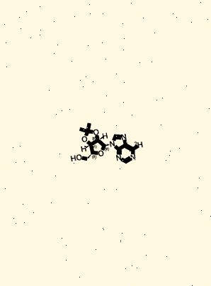 [2H]c1ncnc2c1ncn2[C@@H]1O[C@H](CO)[C@H]2OC(C)(C)O[C@H]21